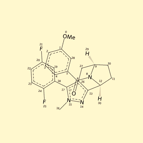 COc1cccc(C(=O)N2[C@@H]3CC[C@H]2c2nn(C)c(-c4cc(F)ccc4F)c2C3)c1